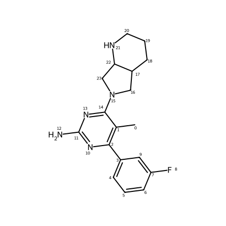 Cc1c(-c2cccc(F)c2)nc(N)nc1N1CC2CCCNC2C1